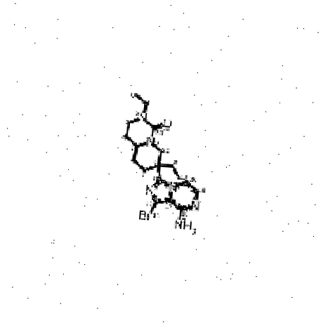 CCN1CCC2CCC(CC)(c3nc(Br)c4c(N)nccn34)CN2C1=O